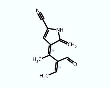 C=c1[nH]c(C#N)c/c1=C(C)/C(C=O)=C\C